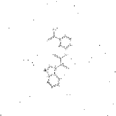 O=C(Nc1cccc(C(=O)O)c1)C(=O)c1c[nH]c2ccccc12